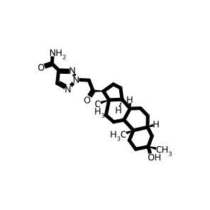 C[C@@]1(O)CC[C@]2(C)C3CC[C@]4(C)[C@@H](C(=O)Cn5ncc(C(N)=O)n5)CC[C@H]4[C@@H]3CC[C@@H]2C1